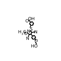 COc1nc(SCc2cccc(C(=O)O)c2)c(C#N)c(-c2ccc(OCCO)cc2)c1C#N